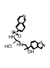 C[C@H](CNCC(C)(O)c1ccc2sncc2c1)NS(=O)(=O)c1ccc2cnccc2c1.Cl